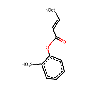 CCCCCCCCC=CC(=O)Oc1ccccc1S(=O)(=O)O